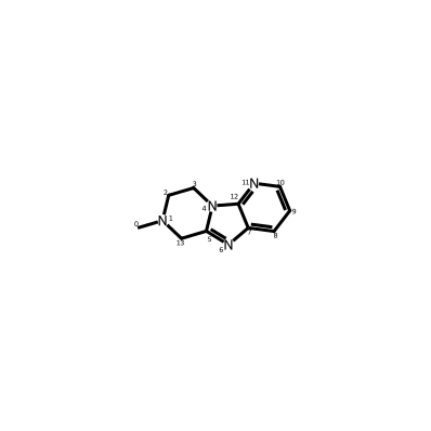 CN1CCn2c(nc3cccnc32)C1